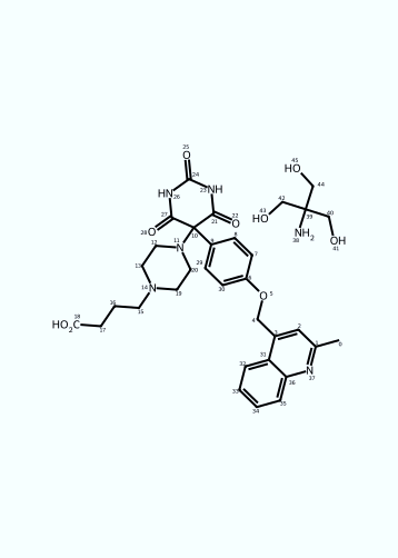 Cc1cc(COc2ccc(C3(N4CCN(CCCC(=O)O)CC4)C(=O)NC(=O)NC3=O)cc2)c2ccccc2n1.NC(CO)(CO)CO